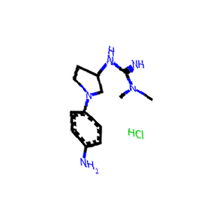 CN(C)C(=N)NC1CCN(c2ccc(N)cc2)C1.Cl